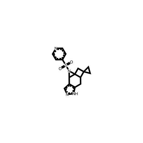 O=S(=O)(c1ccncc1)N1C2c3cn[nH]c3CC3C4(CC4)CC231